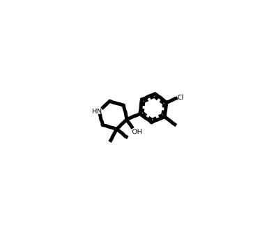 Cc1cc(C2(O)CCNCC2(C)C)ccc1Cl